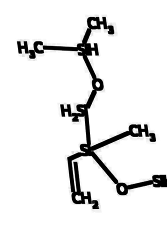 C=C[Si](C)(O[SiH3])[SiH2]O[SiH](C)C